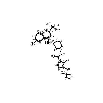 Cc1c(C(=O)N[C@@H]2CCC[C@H](Nc3cc(C(F)(F)F)nc4ccc(Cl)cc34)C2)cnn1CC(C)(C)O